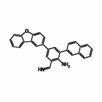 N=Cc1cc(-c2ccc3oc4ccccc4c3c2)cc(-c2ccc3ccccc3c2)c1N